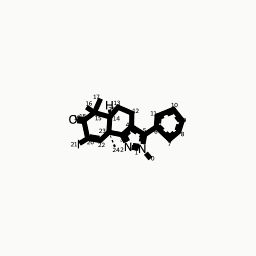 Cn1nc2c(c1-c1ccccc1)CC[C@H]1C(C)(C)C(=O)C(I)=C[C@]21C